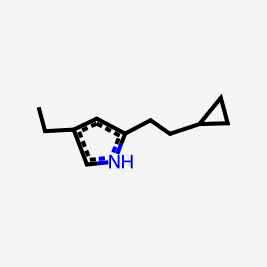 CCc1c[nH]c(CCC2CC2)c1